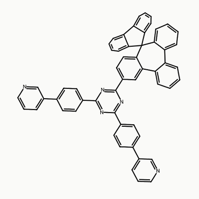 c1cncc(-c2ccc(-c3nc(-c4ccc(-c5cccnc5)cc4)nc(-c4ccc5c(c4)-c4ccccc4-c4ccccc4C54c5ccccc5-c5ccccc54)n3)cc2)c1